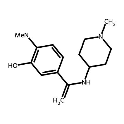 C=C(NC1CCN(C)CC1)c1ccc(NC)c(O)c1